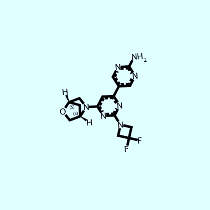 Nc1ncc(-c2cc(N3C[C@@H]4C[C@H]3CO4)nc(N3CC(F)(F)C3)n2)cn1